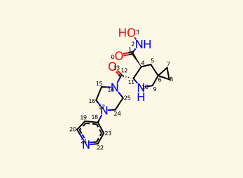 O=C(NO)[C@H]1CC2(CC2)CN[C@@H]1C(=O)N1CCN(c2ccncc2)CC1